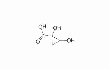 O=C(O)C1(O)CC1O